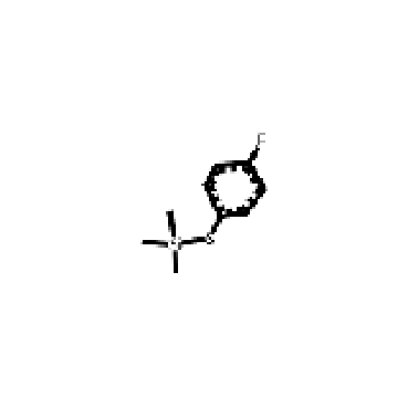 C[Si](C)(C)Sc1ccc(F)cc1